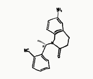 C[C@@H](c1ccccc1C#N)N1C(=O)CCc2cc(N)ccc21